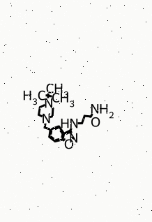 CC(C)(C)N1CCN(Cc2ccc3onc(NCCC(N)=O)c3c2)CC1